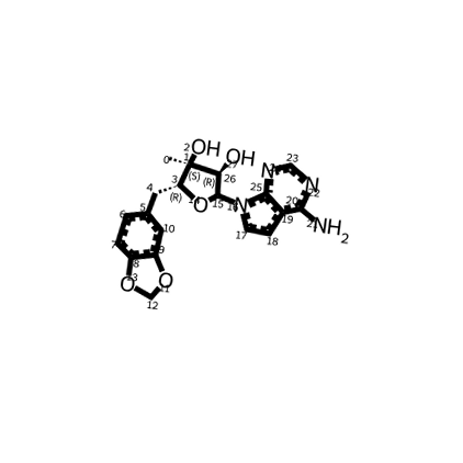 C[C@@]1(O)[C@@H](Cc2ccc3c(c2)OCO3)OC(n2ccc3c(N)ncnc32)[C@@H]1O